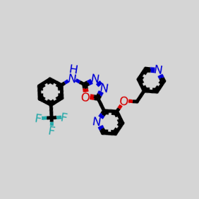 FC(F)(F)c1cccc(Nc2nnc(-c3ncccc3OCc3ccncc3)o2)c1